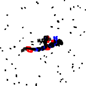 CCCOC(=O)CCN1CCC(N2CCN(C(=O)[C@@H](Cc3cc(C)c4c(c3)oc(=O)n4C)OC(=O)N3CCC(N4CCc5ccccc5NC4=O)CC3)CC2)CC1